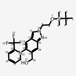 CC(C)(C)[Si](C)(C)OCCn1cc2cc(N3CC=CC=C3C(F)(F)F)c(CO)cc2n1